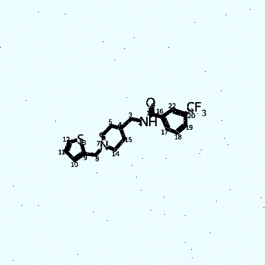 O=C(NCC1CCN(Cc2cccs2)CC1)c1cccc(C(F)(F)F)c1